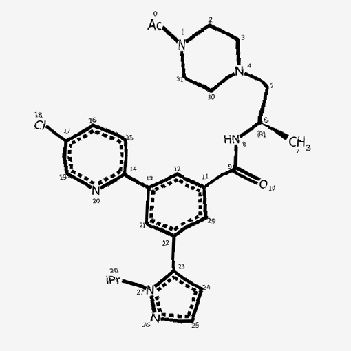 CC(=O)N1CCN(C[C@@H](C)NC(=O)c2cc(-c3ccc(Cl)cn3)cc(-c3ccnn3C(C)C)c2)CC1